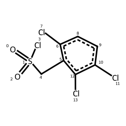 O=S(=O)(Cl)Cc1c(Cl)ccc(Cl)c1Cl